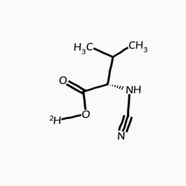 [2H]OC(=O)[C@@H](NC#N)C(C)C